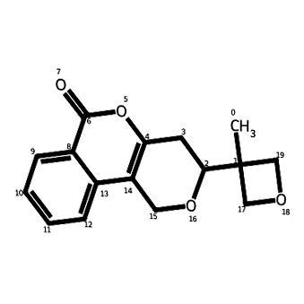 CC1(C2Cc3oc(=O)c4ccccc4c3CO2)COC1